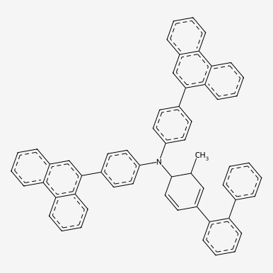 CC1C=C(c2ccccc2-c2ccccc2)C=CC1N(c1ccc(-c2cc3ccccc3c3ccccc23)cc1)c1ccc(-c2cc3ccccc3c3ccccc23)cc1